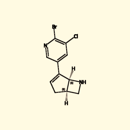 Clc1cc(C2=CC[C@@H]3CN[C@H]23)cnc1Br